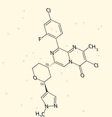 Cc1nc2c(-c3ccc(Cl)cc3F)nc([C@H]3CCO[C@H](c4cnn(C)c4)C3)cn2c(=O)c1Cl